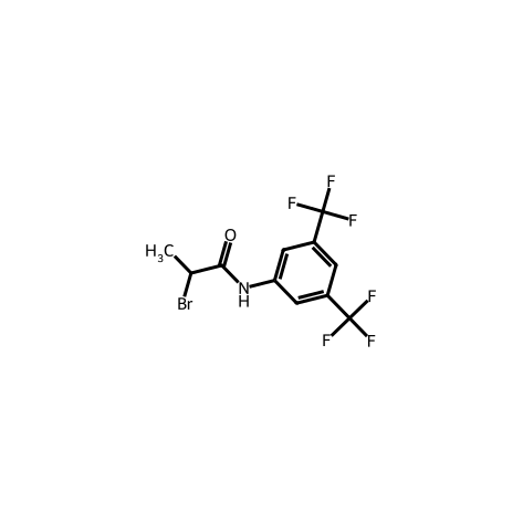 CC(Br)C(=O)Nc1cc(C(F)(F)F)cc(C(F)(F)F)c1